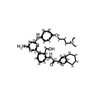 CN(C)CCCOc1ccc(Nc2nc(N)nc(-c3cccc(NC(=O)c4cc5c(s4)CCCC5)c3CO)n2)cc1